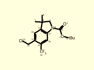 CC(C)(C)OC(=O)N1CC(C)(C)c2cc(CCl)c(C(F)(F)F)cc21